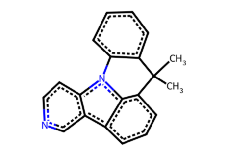 CC1(C)c2ccccc2-n2c3ccncc3c3cccc1c32